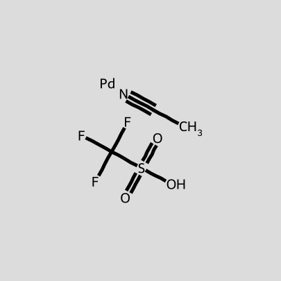 CC#N.O=S(=O)(O)C(F)(F)F.[Pd]